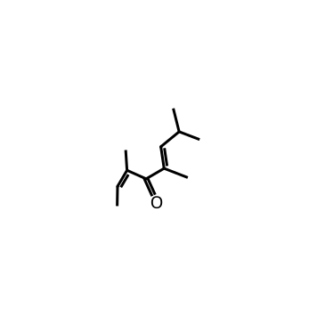 CC=C(C)C(=O)C(C)=CC(C)C